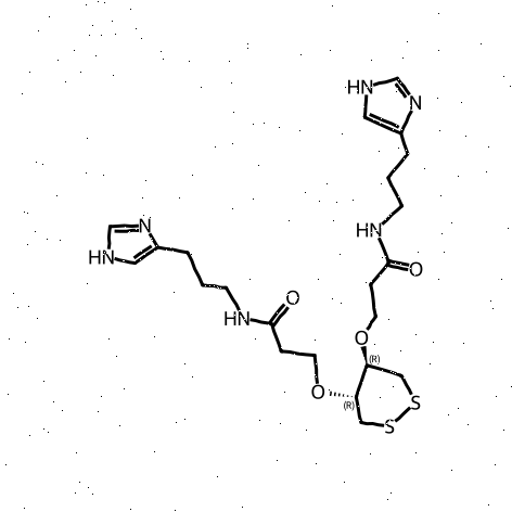 O=C(CCO[C@H]1CSSC[C@@H]1OCCC(=O)NCCCc1c[nH]cn1)NCCCc1c[nH]cn1